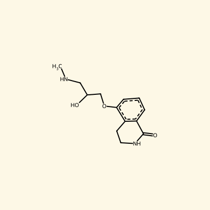 CNCC(O)COc1cccc2c1CCNC2=O